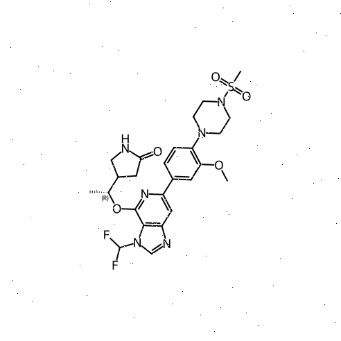 COc1cc(-c2cc3ncn(C(F)F)c3c(O[C@H](C)C3CNC(=O)C3)n2)ccc1N1CCN(S(C)(=O)=O)CC1